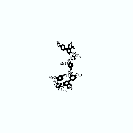 CCOC1CCC(c2ccc(Nc3nc(Nc4ccc(CO[PH](=O)OCc5ccc(Nc6ncc(C(F)(F)F)c(Nc7ccc(C8CCC(OCC)CC8)c8c7C(=O)N(C)C8)n6)c(OC)c5)cc4OC)ncc3C(F)(F)F)c3c2CN(C)C3=O)CC1